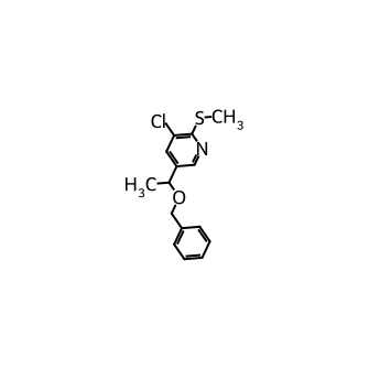 CSc1ncc(C(C)OCc2ccccc2)cc1Cl